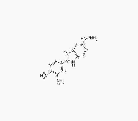 NNc1ccc2[nH]c(-c3ccc(N)c(N)c3)nc2c1